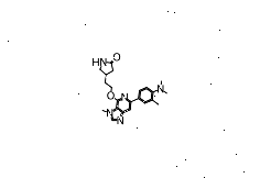 Cc1cc(-c2cc3ncn(C)c3c(OCC[C@H]3CNC(=O)C3)n2)ccc1N(C)C